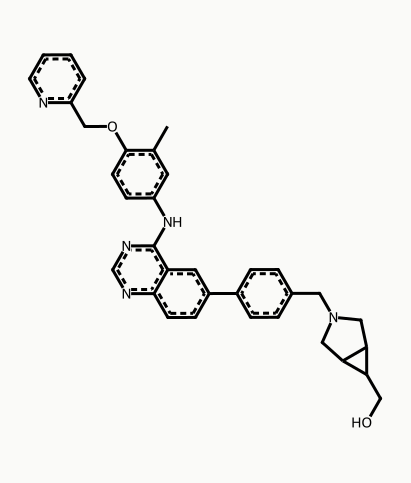 Cc1cc(Nc2ncnc3ccc(-c4ccc(CN5CC6C(CO)C6C5)cc4)cc23)ccc1OCc1ccccn1